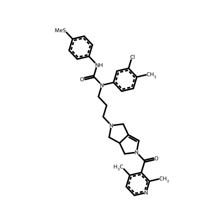 CSc1ccc(NC(=O)N(CCCN2CC3=CN(C(=O)c4c(C)ccnc4C)CC3C2)c2ccc(C)c(Cl)c2)cc1